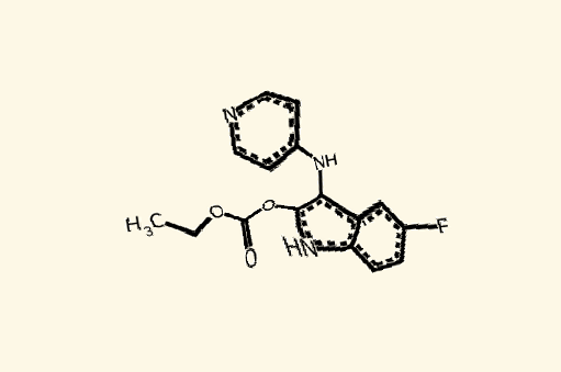 CCOC(=O)Oc1[nH]c2ccc(F)cc2c1Nc1ccncc1